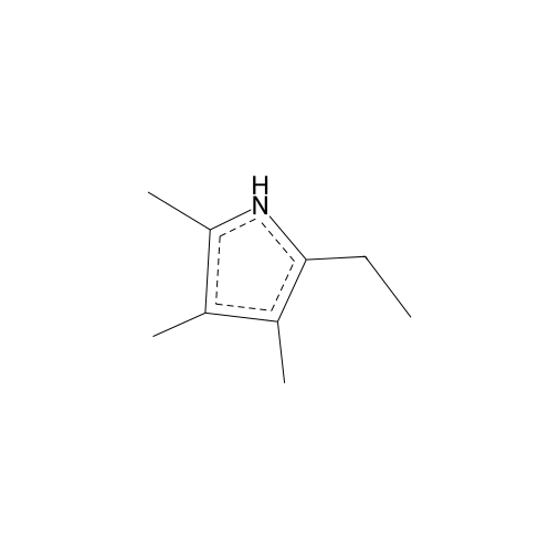 CCc1[nH]c(C)c(C)c1C